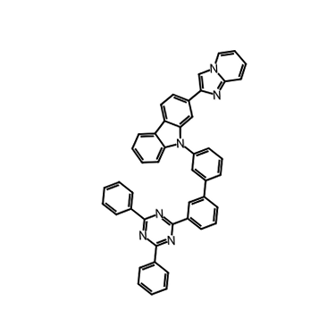 c1ccc(-c2nc(-c3ccccc3)nc(-c3cccc(-c4cccc(-n5c6ccccc6c6ccc(-c7cn8ccccc8n7)cc65)c4)c3)n2)cc1